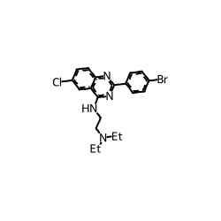 CCN(CC)CCNc1nc(-c2ccc(Br)cc2)nc2ccc(Cl)cc12